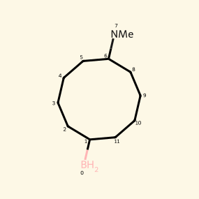 BC1CCCCC(NC)CCCC1